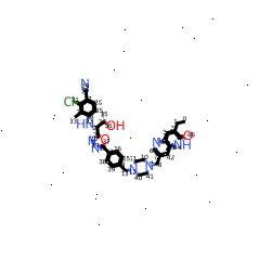 CCc1cc2ncc(CN3CCN(Cc4ccc(-c5nnc([C@H](Nc6ccc(C#N)c(Cl)c6C)[C@H](C)O)o5)cc4)CC3)cc2[nH]c1=O